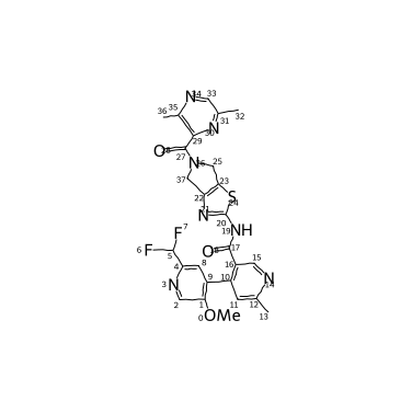 COc1cnc(C(F)F)cc1-c1cc(C)ncc1C(=O)Nc1nc2c(s1)CN(C(=O)c1nc(C)cnc1C)C2